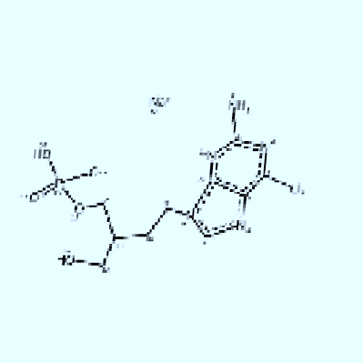 Nc1nc(Cl)c2ncn(CCC(CO)COP(=O)([O-])O)c2n1.[Na+]